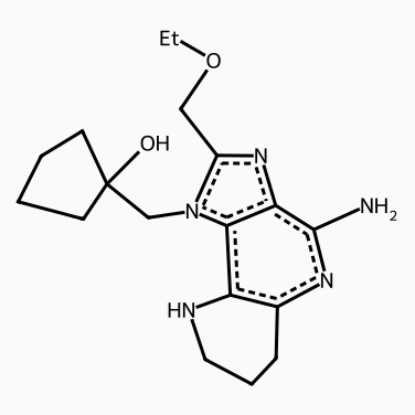 CCOCc1nc2c(N)nc3c(c2n1CC1(O)CCCC1)NCCC3